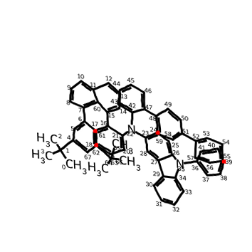 CC(C)(C)c1cc(-c2cccc3cccc(-c4ccccc4N(c4ccc5c(c4)c4ccccc4n5-c4ccccc4)c4ccccc4-c4ccc(-c5ccccc5)cc4)c23)cc(C(C)(C)C)c1